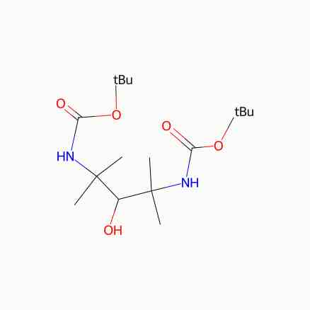 CC(C)(C)OC(=O)NC(C)(C)C(O)C(C)(C)NC(=O)OC(C)(C)C